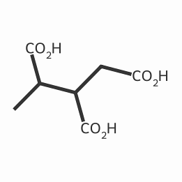 CC(C(=O)O)C(CC(=O)O)C(=O)O